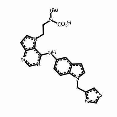 CC(C)(C)N(CCn1ccc2ncnc(Nc3ccc4c(ccn4Cc4cscn4)c3)c21)C(=O)O